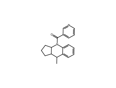 CC1c2ccccc2N(C(=O)c2cccnc2)C2CCCC12